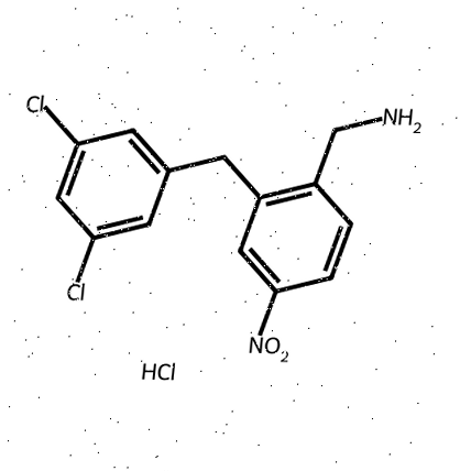 Cl.NCc1ccc([N+](=O)[O-])cc1Cc1cc(Cl)cc(Cl)c1